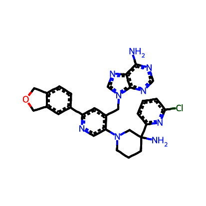 Nc1ncnc2c1ncn2Cc1cc(-c2ccc3c(c2)COC3)ncc1N1CCCC(N)(c2cccc(Cl)n2)C1